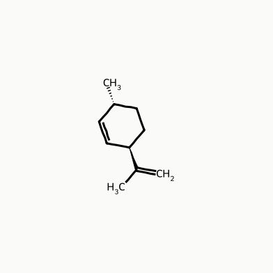 C=C(C)[C@H]1C=C[C@H](C)CC1